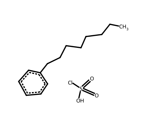 CCCCCCCCc1ccccc1.O=S(=O)(O)Cl